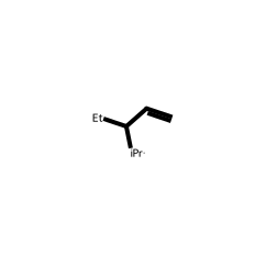 [CH2]CC(C=C)[C](C)C